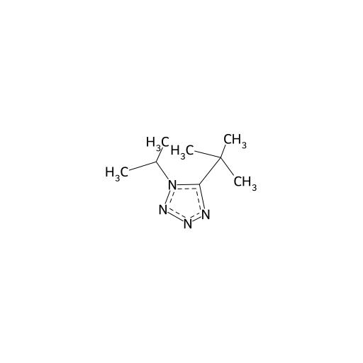 CC(C)n1nnnc1C(C)(C)C